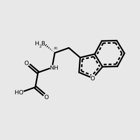 B[C@H](Cc1coc2ccccc12)NC(=O)C(=O)O